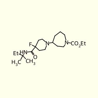 CCOC(=O)N1CCCC(N2CCC(F)(C(=O)NC(C)(C)CC)CC2)CC1